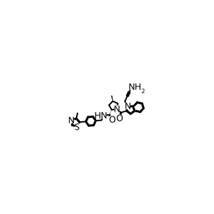 Cc1ncsc1-c1ccc(CNC(=O)[C@@H]2C[C@@H](C)CN2C(=O)c2cc3ccccc3n2CC#CN)cc1